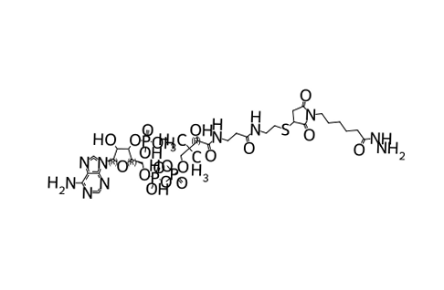 CC(C)(COP(=O)(O)OP(=O)(O)OC[C@H]1O[C@@H](n2cnc3c(N)ncnc32)C(O)C1OP(=O)(O)O)[C@@H](O)C(=O)NCCC(=O)NCCSC1CC(=O)N(CCCCCC(=O)NN)C1=O